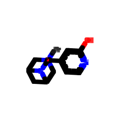 CC(C)N1CC2CC(C1)N2Cc1ccnc(O)c1